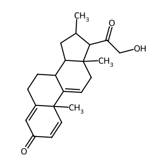 CC1CC2C3CCC4=CC(=O)C=CC4(C)C3=CCC2(C)C1C(=O)CO